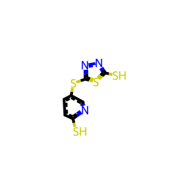 Sc1ccc(Sc2nnc(S)s2)cn1